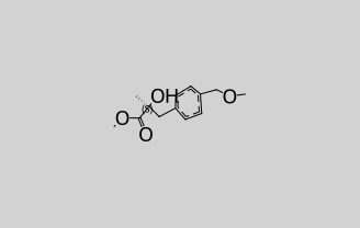 COCc1ccc(C[C@](C)(O)C(=O)OC)cc1